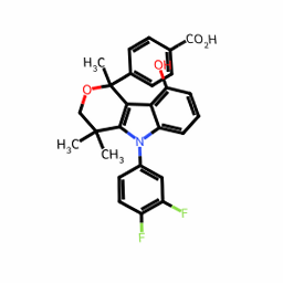 CC1(C)COC(C)(c2ccc(C(=O)O)cc2)c2c1n(-c1ccc(F)c(F)c1)c1cccc(O)c21